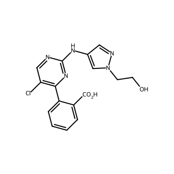 O=C(O)c1ccccc1-c1nc(Nc2cnn(CCO)c2)ncc1Cl